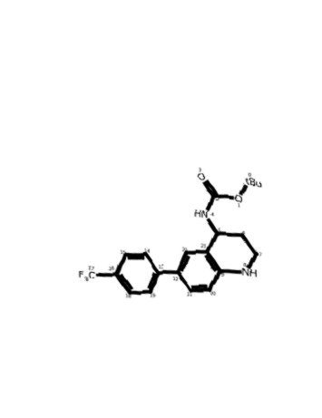 CC(C)(C)OC(=O)NC1CCNc2ccc(-c3ccc(C(F)(F)F)cc3)cc21